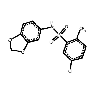 O=S(=O)(Nc1ccc2c(c1)OCO2)c1cc(Cl)ccc1C(F)(F)F